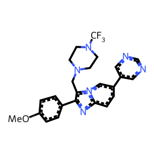 COc1ccc(-c2nc3ccc(-c4cncnc4)cn3c2CN2CCN(C(F)(F)F)CC2)cc1